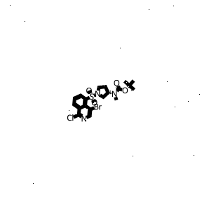 CN(C(=O)OC(C)(C)C)[C@H]1CCN(S(=O)(=O)c2cccc3c(Cl)ncc(Br)c23)C1